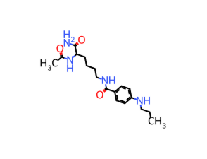 CCCNc1ccc(C(=O)NCCCCC(NC(C)=O)C(N)=O)cc1